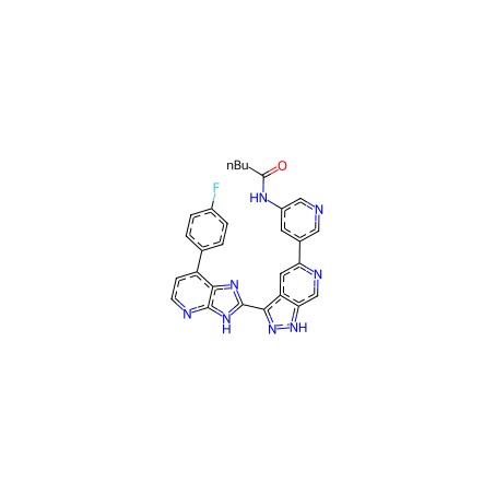 CCCCC(=O)Nc1cncc(-c2cc3c(-c4nc5c(-c6ccc(F)cc6)ccnc5[nH]4)n[nH]c3cn2)c1